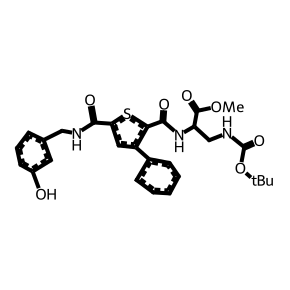 COC(=O)C(CNC(=O)OC(C)(C)C)NC(=O)c1sc(C(=O)NCc2cccc(O)c2)cc1-c1ccccc1